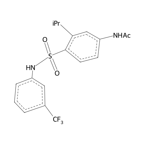 CC(=O)Nc1ccc(S(=O)(=O)Nc2cccc(C(F)(F)F)c2)c(C(C)C)c1